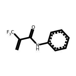 C=C(C(=O)Nc1ccccc1)C(F)(F)F